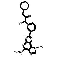 CNc1nc2oc(-c3cccc(C(N)C(=O)CC4CCCCC4)c3)nc2c2c1ncn2C